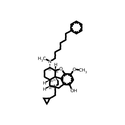 COc1cc(O)c2c3c1O[C@H]1[C@@H](N(C)CCCCCCc4ccccc4)CC[C@H]4[C@@H](C2)N(CC2CC2)CC[C@@]341